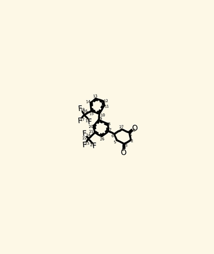 O=C1CC(=O)CC(c2cc(-c3ccccc3C(F)(F)F)cc(C(F)(F)F)c2)C1